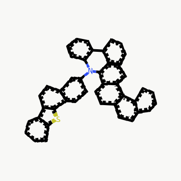 c1ccc(-c2ccccc2N(c2ccc3c(ccc4c5ccccc5sc34)c2)c2cccc3c2ccc2ccc4ccccc4c23)cc1